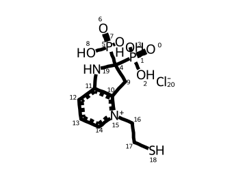 O=P(O)(O)C1(P(=O)(O)O)Cc2c(ccc[n+]2CCS)N1.[Cl-]